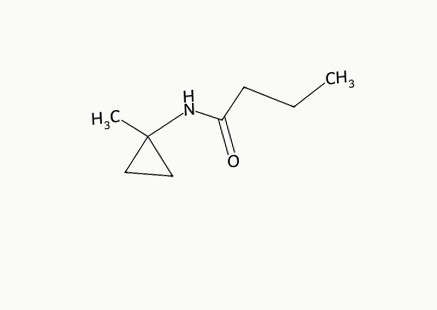 CCCC(=O)NC1(C)CC1